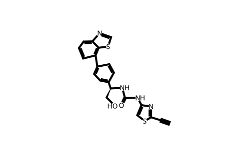 C#Cc1nc(NC(=O)N[C@@H](CO)c2ccc(-c3cccc4ncsc34)cc2)cs1